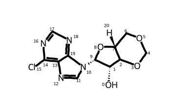 O[C@H]1C2OCOC[C@H]2O[C@H]1n1cnc2c(Cl)ncnc21